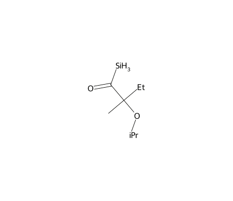 CCC(C)(OC(C)C)C(=O)[SiH3]